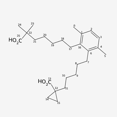 Cc1ccc(C)c(CCCCCC2(C(=O)O)CC2)c1CCCCCC(C)(C)C(=O)O